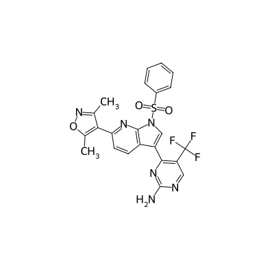 Cc1noc(C)c1-c1ccc2c(-c3nc(N)ncc3C(F)(F)F)cn(S(=O)(=O)c3ccccc3)c2n1